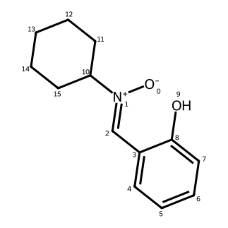 [O-][N+](=Cc1ccccc1O)C1CCCCC1